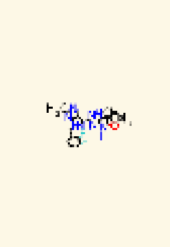 Cc1ncc2c(-c3nnc4c(n3)NC(=O)C4(C)C)nn(Cc3cccc(F)c3F)c2n1